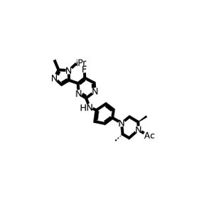 CC(=O)N1C[C@H](C)N(c2ccc(Nc3ncc(F)c(-c4cnc(C)n4C(C)C)n3)cc2)C[C@H]1C